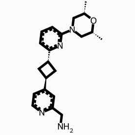 C[C@@H]1CN(c2cccc([C@H]3C[C@H](c4ccnc(CN)c4)C3)n2)C[C@H](C)O1